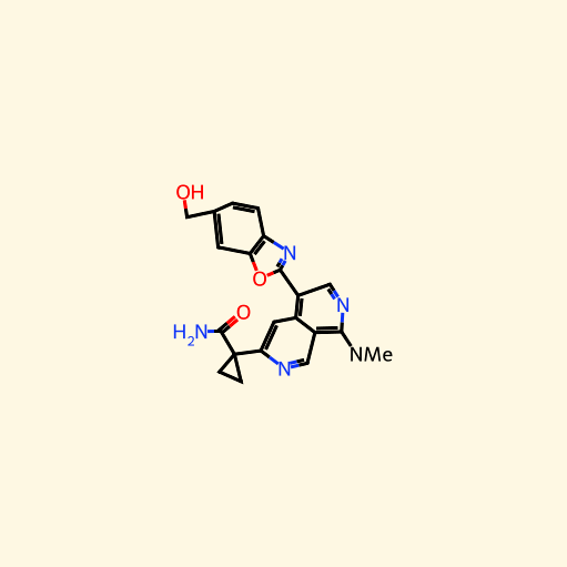 CNc1ncc(-c2nc3ccc(CO)cc3o2)c2cc(C3(C(N)=O)CC3)ncc12